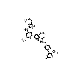 C/N=C\c1nc(Nc2cc(C)nc(-c3cnc(C(=O)NCc4ccc(-c5cc(F)cnc5C)nc4)c(C)c3)n2)no1